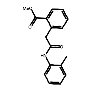 COC(=O)c1ccccc1CC(=O)Nc1ccccc1C